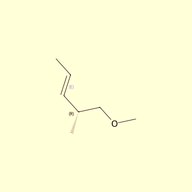 C/C=C/[C@@H](C)COC